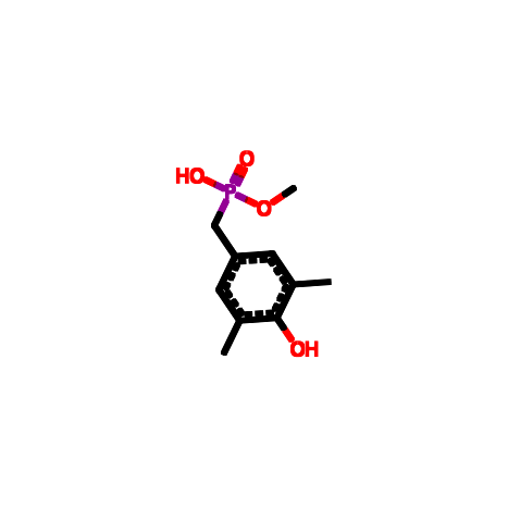 COP(=O)(O)Cc1cc(C)c(O)c(C)c1